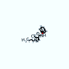 CCCCn1ncc(C(=O)NC2C3CC4CC(C3)CC2C4)c1Cl